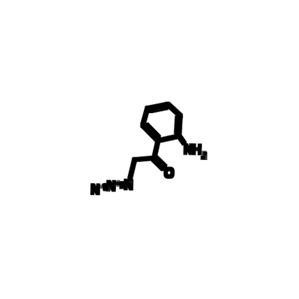 [N-]=[N+]=NCC(=O)c1ccccc1N